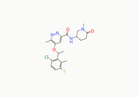 Cc1nnc(C(=O)NC2CCC(=O)N(C)C2)cc1OC(C)c1c(Cl)ccc(F)c1C